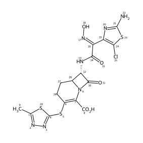 Cc1nnc(SC2=C(C(=O)O)N3C(=O)[C@@H](NC(=O)C(=NO)c4nc(N)sc4Cl)C3CC2)s1